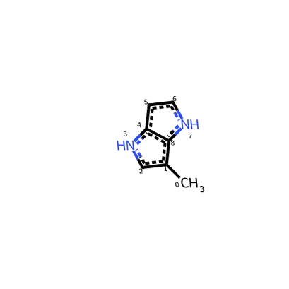 Cc1c[nH]c2cc[nH]c12